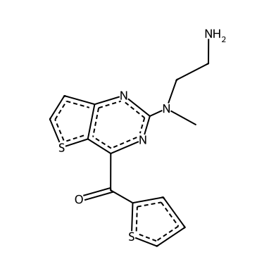 CN(CCN)c1nc(C(=O)c2cccs2)c2sccc2n1